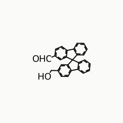 O=Cc1ccc2c(c1)C1(c3ccccc3-2)c2ccccc2-c2ccc(CO)cc21